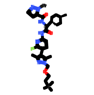 Cc1nn(COCC[Si](C)(C)C)c(C)c1-c1ccc(NC(=O)[C@@H](NC(=O)c2ccnn2C(C)C)[C@H]2CC[C@H](C)CC2)nc1F